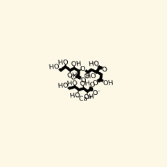 O=C(O)CC(O)(CC(=O)O[C@@H](C(=O)[O-])[C@@H](O)[C@H](O)[C@H](O)CO)C(=O)O.O=C([O-])[C@H](O)[C@@H](O)[C@H](O)[C@H](O)CO.[Ca+2]